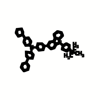 C[Si](C)(C)c1ccc(-n2c3ccccc3c3cc(-c4ccc(N(c5ccc(-c6ccccc6)cc5)c5ccc(-c6ccccc6)cc5)cc4)ccc32)cc1